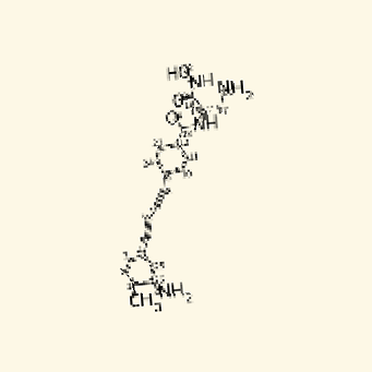 Cc1ccc(C#CC#Cc2ccc(C(=O)N[C@@H](CN)C(=O)NO)cc2)cc1N